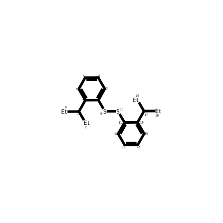 CCC(CC)c1ccccc1SSc1ccccc1C(CC)CC